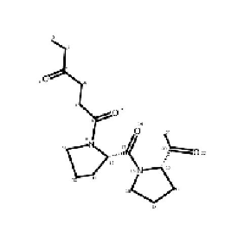 CCC(=O)CCC(=O)N1CCC[C@H]1C(=O)N1CCC[C@H]1C(C)=O